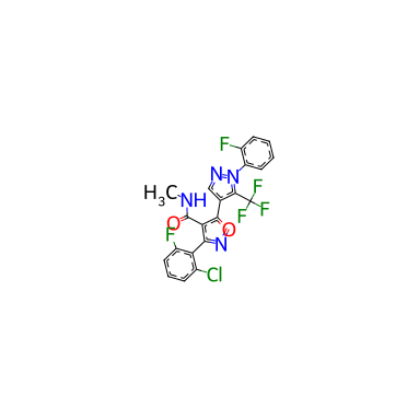 CNC(=O)c1c(-c2c(F)cccc2Cl)noc1-c1cnn(-c2ccccc2F)c1C(F)(F)F